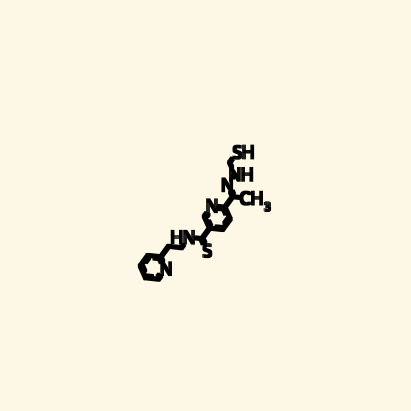 CC(=NNCS)c1ccc(C(=S)NCCc2ccccn2)cn1